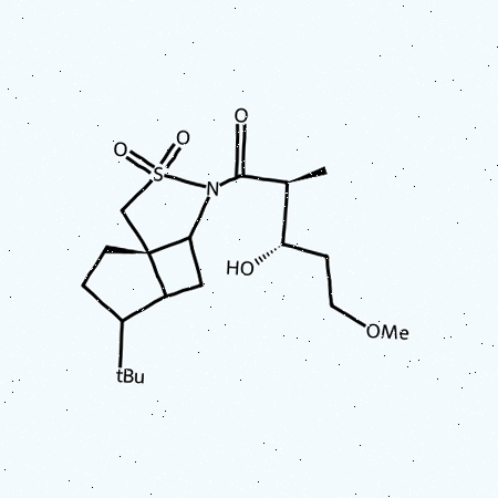 COCC[C@H](O)[C@H](C)C(=O)N1C2CC3C(C(C)(C)C)CC[C@]32CS1(=O)=O